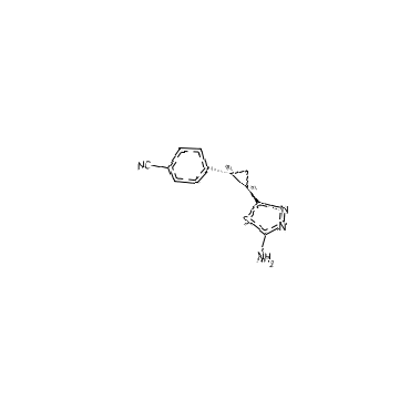 N#Cc1ccc([C@@H]2C[C@H]2c2nnc(N)s2)cc1